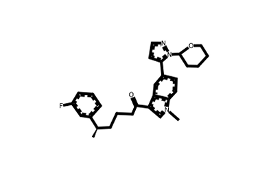 C[C@H](CCCC(=O)c1cn(C)c2ccc(-c3ccnn3C3CCCCO3)cc12)c1cccc(F)c1